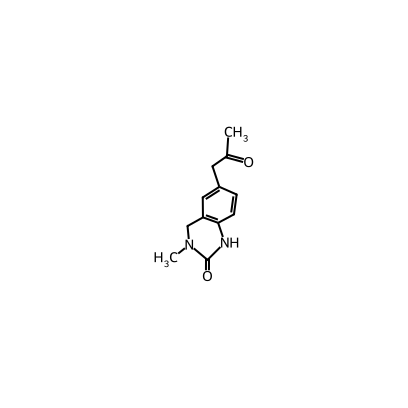 CC(=O)Cc1ccc2c(c1)CN(C)C(=O)N2